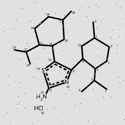 CC1CCC(C(C)C)C(c2nc(N)sc2C2CC(C)CCC2C(C)C)C1.Cl